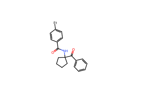 CCc1ccc(C(=O)NC2(C(=O)c3ccccc3)CCCC2)cc1